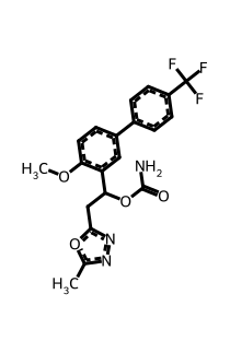 COc1ccc(-c2ccc(C(F)(F)F)cc2)cc1C(Cc1nnc(C)o1)OC(N)=O